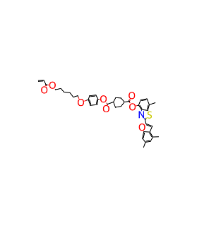 C=CC(=O)OCCCCCCOc1ccc(OC(=O)C2CCC(C(=O)Oc3ccc(C)c4sc(-c5cc6c(C)cc(C)cc6o5)nc34)CC2)cc1